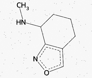 CNC1CCCc2conc21